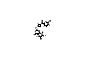 Cc1nc(N[C@H]2C[C@H](Nc3cccc(C(F)(F)F)n3)C2)nc2c1NC(=O)C(C(C)C)N2C